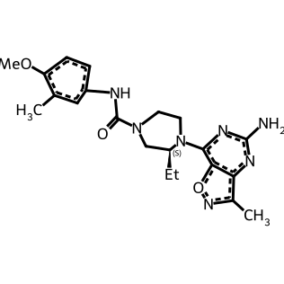 CC[C@H]1CN(C(=O)Nc2ccc(OC)c(C)c2)CCN1c1nc(N)nc2c(C)noc12